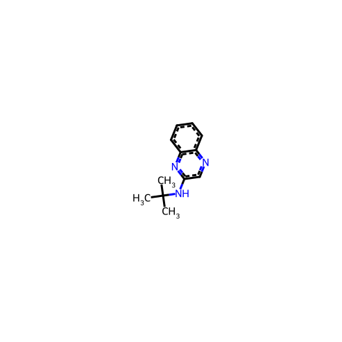 CC(C)(C)Nc1cnc2ccccc2n1